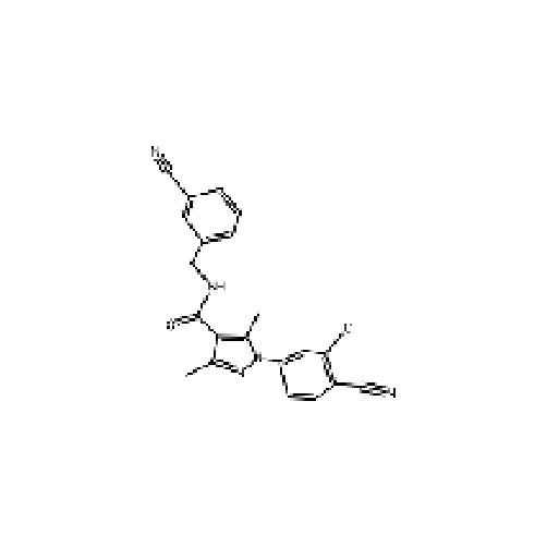 Cc1nn(-c2ccc(C#N)c(Cl)c2)c(C)c1C(=O)NCc1cccc(C#N)c1